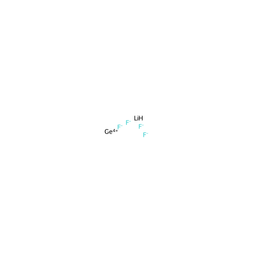 [F-].[F-].[F-].[F-].[Ge+4].[LiH]